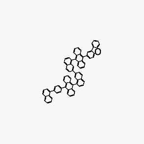 c1ccc2c(-c3ccc(-c4c5ccccc5c(-c5cccc6ccc(-c7ccc8cccc(-c9c%10ccccc%10c(-c%10ccc%11oc%12ccccc%12c%11c%10)c%10ccccc9%10)c8c7)cc56)c5ccccc45)cc3)cccc2c1